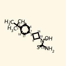 CC(C)(C)c1ccc([C@H]2C[C@@H](N(O)C(N)=S)C2)cc1